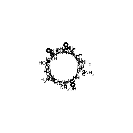 CCCC[C@H]1C(=O)N(C)[C@@H](CCCC)C(=O)N[C@@H](CCN)C(=O)NC(C(=O)NCC(N)=O)CSCC(=O)N[C@@H](Cc2ccc(O)cc2)C(=O)N(C)[C@@H](C)C(=O)N[C@@H](CC(N)=O)C(=O)N2CCC[C@H]2C(=O)N[C@@H](CC(N)=O)C(=O)N[C@@H](CC(C)C)C(=O)N2C[C@H](O)C[C@H]2C(=O)N[C@@H](Cc2c[nH]c3ccccc23)C(=O)N[C@@H](CO)C(=O)N[C@@H](Cc2c[nH]c3ccccc23)C(=O)N1C